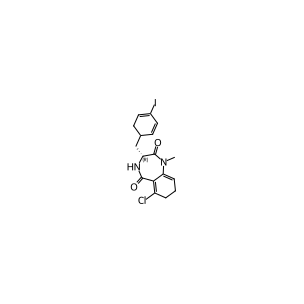 CN1C(=O)[C@@H](CC2C=CC(I)=CC2)NC(=O)C2=C(Cl)CCC=C21